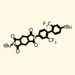 CC(C)(C)c1ccc(-c2ccc(N3C(=O)C4CC5C(=O)N(C(C)(C)C)C(=O)C5CC4C3=O)cc2C(F)(F)F)c(C(F)(F)F)c1